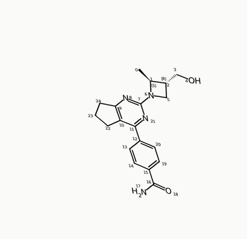 C[C@H]1[C@H](CO)CN1c1nc2c(c(-c3ccc(C(N)=O)cc3)n1)CCC2